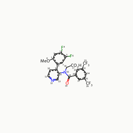 COc1cc(F)c(F)cc1-c1ccncc1N(CC(=O)O)C(=O)c1cc(C(F)(F)F)cc(C(F)(F)F)c1